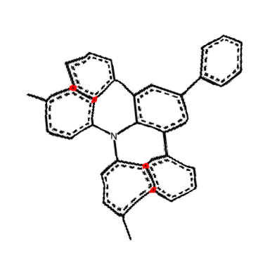 Cc1ccc(N(c2ccc(C)cc2)c2c(-c3ccccc3)cc(-c3ccccc3)cc2-c2ccccc2)cc1